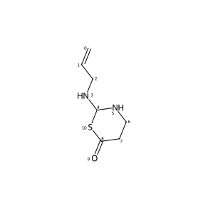 C=CCNC1NCCC(=O)S1